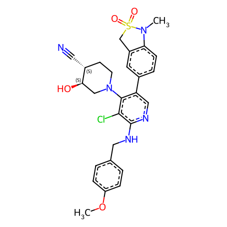 COc1ccc(CNc2ncc(-c3ccc4c(c3)CS(=O)(=O)N4C)c(N3CC[C@@H](C#N)[C@H](O)C3)c2Cl)cc1